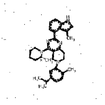 Cc1ccc(C(C)C)cc1N1CCc2nc(-c3cccc4[nH]cc(C)c34)nc(N3CCCC[C@H]3C)c2C1